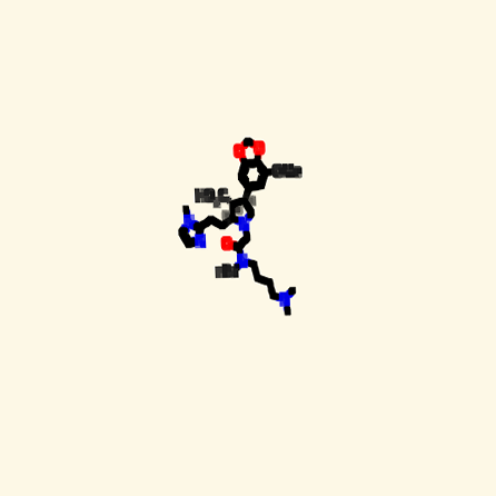 CCCCN(CCCCN(C)C)C(=O)CN1C[C@H](c2cc(OC)c3c(c2)OCO3)[C@@H](C(=O)O)[C@@H]1CCc1nccn1C